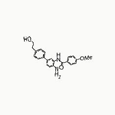 COc1ccc(C(=O)Nc2cc(-c3ccc(CCO)cc3)ccc2N)cc1